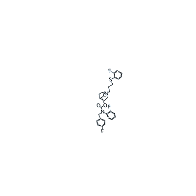 O=C(OC1C[N+]2(CCCSc3ccccc3F)CCC1CC2)N(Cc1ccc(F)cc1)c1ccccc1F